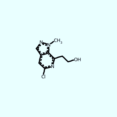 Cn1ncc2cc(Cl)nc(CCO)c21